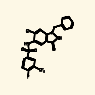 O=c1[nH]n(Cc2ccccc2)c2cc(Cl)c(NS(=O)(=O)c3ccc(F)c(C(F)(F)F)c3)cc12